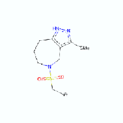 CSc1n[nH]c2c1CN(S(=O)(=O)CC(C)C)CCC2